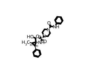 C[C@@H]1[C@H](c2ccccc2)[C@]1(NS(=O)(=O)N1CCN(C(=O)Nc2ccccc2)CC1)C(=O)O